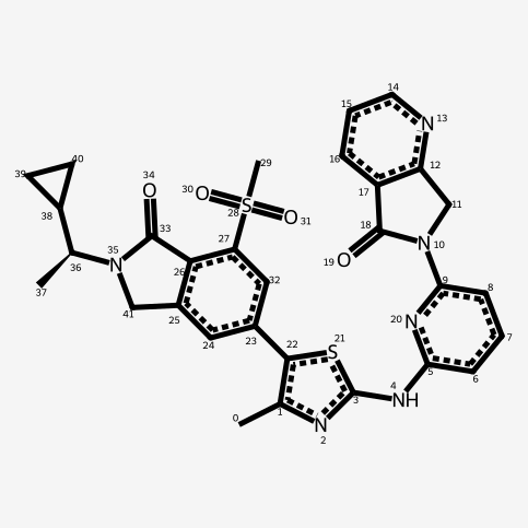 Cc1nc(Nc2cccc(N3Cc4ncccc4C3=O)n2)sc1-c1cc2c(c(S(C)(=O)=O)c1)C(=O)N([C@@H](C)C1CC1)C2